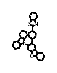 c1ccc2sc(-c3ccc(-c4cc5c(cc4-n4c6ccccc6c6ccccc64)oc4ccccc45)cc3)nc2c1